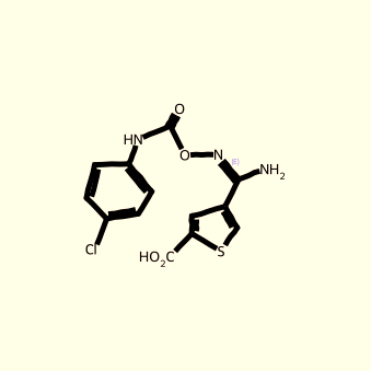 N/C(=N/OC(=O)Nc1ccc(Cl)cc1)c1csc(C(=O)O)c1